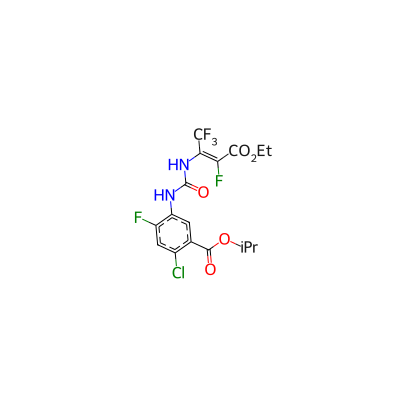 CCOC(=O)C(F)=C(NC(=O)Nc1cc(C(=O)OC(C)C)c(Cl)cc1F)C(F)(F)F